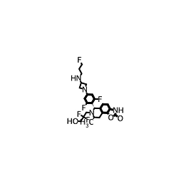 C[C@@H]1Cc2c(ccc3[nH]c(=O)oc23)[C@@H](c2c(F)cc(N3CC(NCCCF)C3)cc2F)N1CC(F)(F)CO